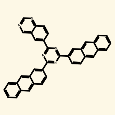 c1ccc2cc3cc(-c4nc(-c5ccc6cc7ccccc7cc6c5)nc(-c5ccc6ncncc6c5)n4)ccc3cc2c1